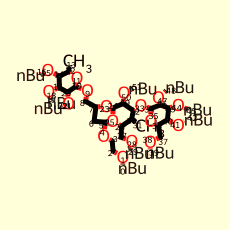 CCCCOCCOCCC(COC1OC(C)C(OCCCC)C(OCCCC)C1OCCCC)OC1OC(COCCCC)C(C)C(OC2OC(COCCCC)C(OCCCC)C(OCCCC)C2OCCCC)C1OCCCC